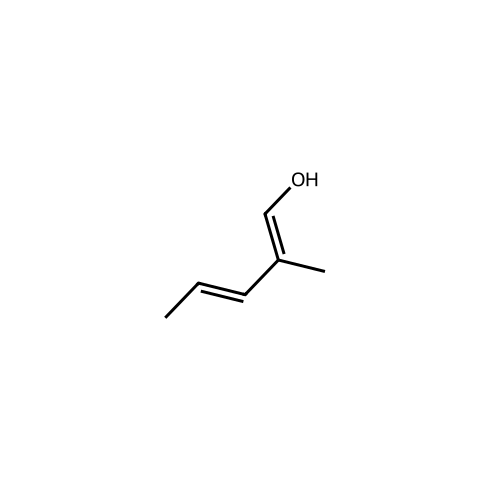 CC=CC(C)=CO